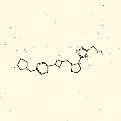 CCc1noc([C@H]2CCCN2CC2CC(c3ccc(CN4CCCC4)cc3)C2)n1